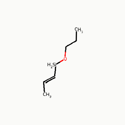 CC=C[SiH2]OCCC